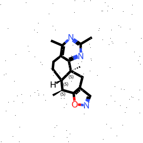 Cc1nc(C)c2c(n1)[C@@]1(C)Cc3cnoc3[C@@H](C)[C@@H]1CC2